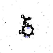 C1=C\CC/C=C\CC/1.O=C(Br)Br.[Co]